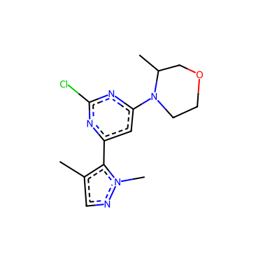 Cc1cnn(C)c1-c1cc(N2CCOCC2C)nc(Cl)n1